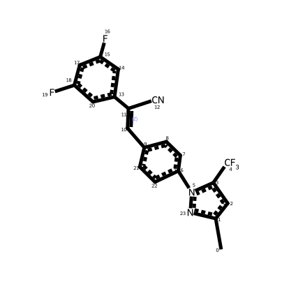 Cc1cc(C(F)(F)F)n(-c2ccc(/C=C(\C#N)c3cc(F)cc(F)c3)cc2)n1